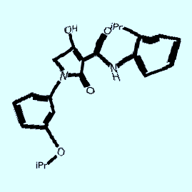 CC(C)Oc1cccc(N2CC(O)=C(C(=O)Nc3ccccc3C(C)C)C2=O)c1